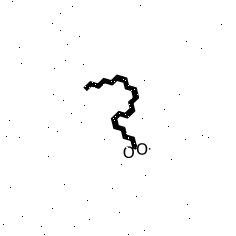 CCCCC/C=C\C/C=C\C/C=C\C/C=C\CCCC([O])=O